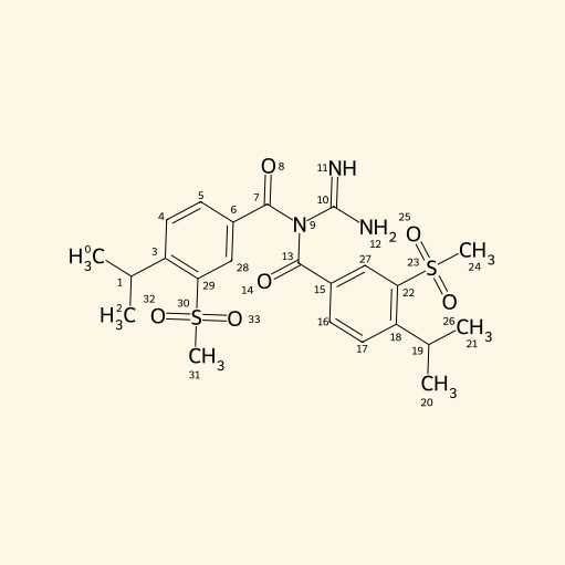 CC(C)c1ccc(C(=O)N(C(=N)N)C(=O)c2ccc(C(C)C)c(S(C)(=O)=O)c2)cc1S(C)(=O)=O